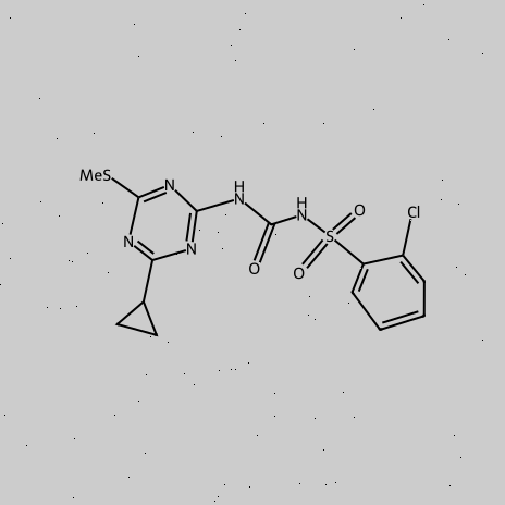 CSc1nc(NC(=O)NS(=O)(=O)c2ccccc2Cl)nc(C2CC2)n1